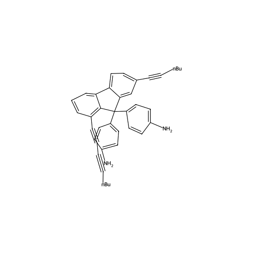 CCCCC#CC#Cc1cccc2c1C(c1ccc(N)cc1)(c1ccc(N)cc1)c1cc(C#CCCCC)ccc1-2